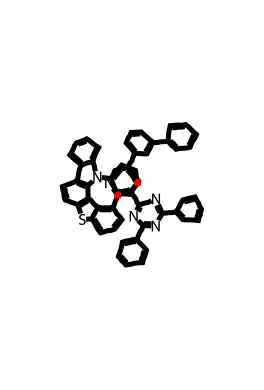 c1ccc(-c2cccc(-c3cnc(-c4cccc5sc6ccc7c8ccccc8n(-c8ccccc8)c7c6c45)c(-c4nc(-c5ccccc5)nc(-c5ccccc5)n4)c3)c2)cc1